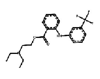 CCN(CC)CCOC(=O)c1ccccc1Nc1cccc(C(F)(F)F)c1